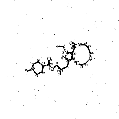 CCn1nc(C[C@@H](C)COC(=O)C2CCN(C)CC2)c2c1C(=O)NCCCOCCC2